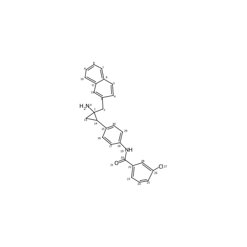 NC1(Cc2ccc3ccccc3c2)CC1c1ccc(NC(=O)c2cccc(Cl)c2)cc1